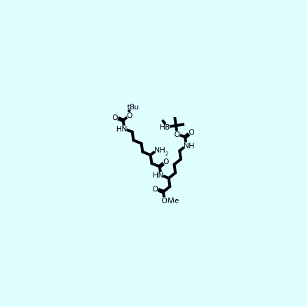 CBC(C)(C)OC(=O)NCCCCC(CC(=O)OC)NC(=O)CC(N)CCCCNC(=O)OC(C)(C)C